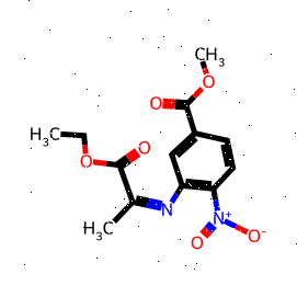 CCOC(=O)C(C)=Nc1cc(C(=O)OC)ccc1[N+](=O)[O-]